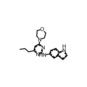 CCCc1cc(N2CCOCC2)nc(Nc2ccc3[nH]ccc3c2)n1